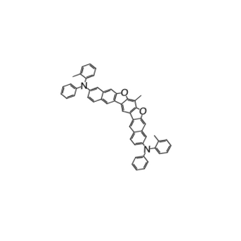 Cc1ccccc1N(c1ccccc1)c1ccc2cc3c(cc2c1)oc1c(C)c2oc4cc5cc(N(c6ccccc6)c6ccccc6C)ccc5cc4c2cc13